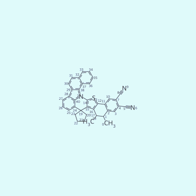 CC1c2cc(C#N)c(C#N)cc2-c2sc3c(c2C1C)C1(CCCC1)c1cccc2c4ccc5ccccc5c4n-3c12